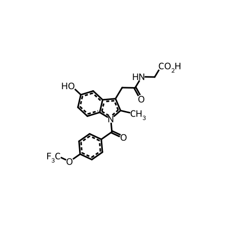 Cc1c(CC(=O)NCC(=O)O)c2cc(O)ccc2n1C(=O)c1ccc(OC(F)(F)F)cc1